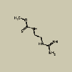 COC(=S)NCCNC(=N)N